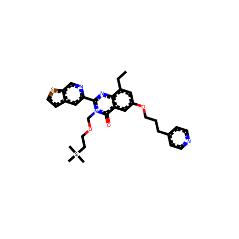 CCc1cc(OCCCc2ccncc2)cc2c(=O)n(COCC[Si](C)(C)C)c(-c3cc4ccsc4cn3)nc12